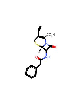 C=CC1=C(C(=O)O)N2C(=O)C(NC(=O)Cc3ccccc3)[C@@H]2SC1